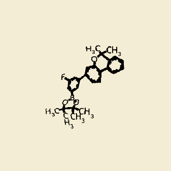 CC1(C)Oc2cc(-c3cc(F)cc(B4OC(C)(C)C(C)(C)O4)c3)ccc2-c2ccccc21